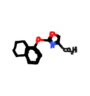 O=C(O)c1coc(Oc2cccc3c2CCCC3)n1